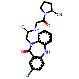 C[C@H](CN1C(=O)c2cc(Cl)ccc2Nc2ccccc21)NCC(=O)N1CCC[C@H]1C#N